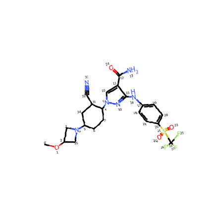 COC1CN(C2CCC(n3cc(C(N)=O)c(Nc4ccc(S(=O)(=O)C(F)(F)F)cc4)n3)C(C#N)C2)C1